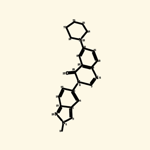 Cn1cc2cc(-n3cnc4ccc(N5CCCCC5)cc4c3=O)ccc2n1